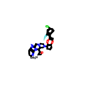 O=C(O)c1ccc2nc3n(c2n1)C(C1CCO1)C1CN(c2cccc4c2OC(c2ccc(Cl)cc2F)CO4)CCN1C3